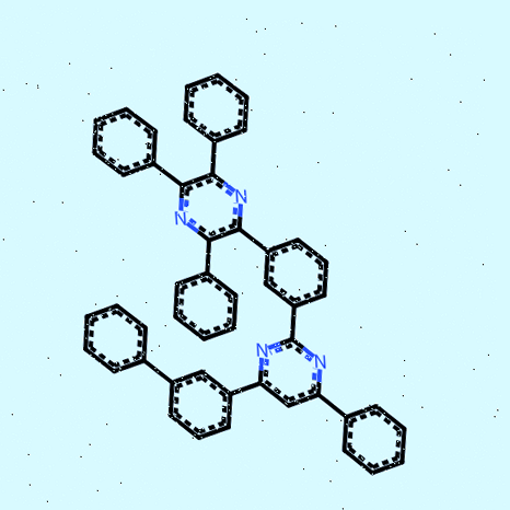 c1ccc(-c2cccc(-c3cc(-c4ccccc4)nc(-c4cccc(-c5nc(-c6ccccc6)c(-c6ccccc6)nc5-c5ccccc5)c4)n3)c2)cc1